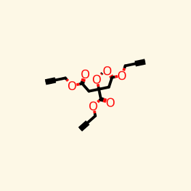 C#CCOC(=O)CC(CC(=O)OCC#C)(OC)C(=O)OCC#C